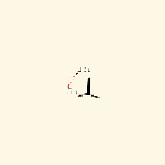 C=C(C)C.CC(C)(C)OC(C)(C)C